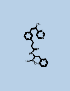 N#CC(=Cc1cccc(CCC(=O)N[C@@H](Cc2ccccc2)B(O)O)c1)c1ccncn1